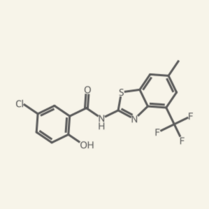 Cc1cc(C(F)(F)F)c2nc(NC(=O)c3cc(Cl)ccc3O)sc2c1